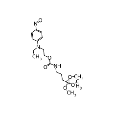 CCN(CCOC(=O)NCCC[Si](OC)(OC)OC)c1ccc(N=O)cc1